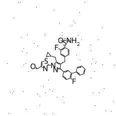 N[S+]([O-])c1ccc(Cc2c(-c3ccc(F)c(-c4ccccc4)c3)nn(-c3nc(C=O)cs3)c2CC2CC2)cc1F